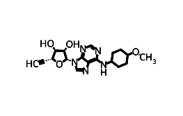 C#C[C@H]1O[C@@H](n2cnc3c(NC4CCC(OC)CC4)ncnc32)[C@H](O)[C@@H]1O